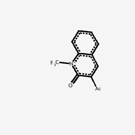 CC(=O)c1cc2ccccc2n(C(F)(F)F)c1=O